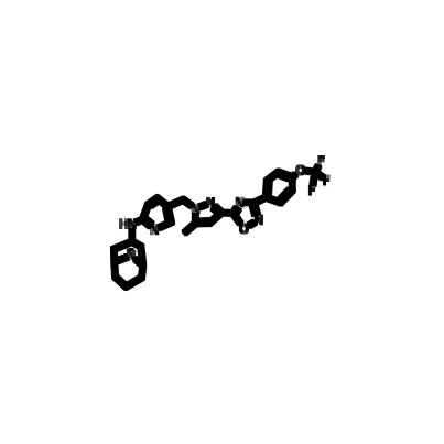 Cc1cc(-c2nc(-c3ccc(OC(F)(F)F)cc3)no2)nn1Cc1ccc(NC2CC3CCCC(C2)N3C)nc1